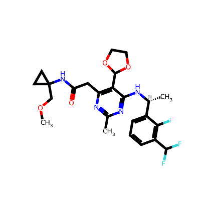 COCC1(NC(=O)Cc2nc(C)nc(N[C@H](C)c3cccc(C(F)F)c3F)c2C2OCCO2)CC1